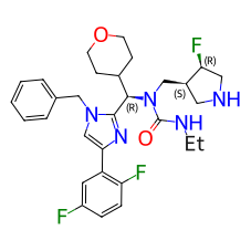 [CH2]CNC(=O)N(C[C@@H]1CNC[C@@H]1F)[C@@H](c1nc(-c2cc(F)ccc2F)cn1Cc1ccccc1)C1CCOCC1